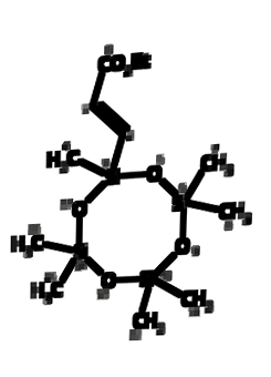 CCOC(=O)/C=C/[Si]1(C)O[Si](C)(C)O[Si](C)(C)O[Si](C)(C)O1